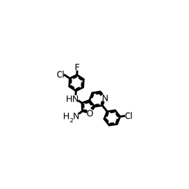 Nc1oc2c(-c3cccc(Cl)c3)nccc2c1Nc1ccc(F)c(Cl)c1